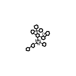 c1ccc(-c2ccc(-c3nc(-c4ccccc4)nc(-c4cc5c(cc4-c4cccc6c4oc4ccccc46)C(c4ccccc4)(c4ccccc4)c4ccccc4-5)n3)cc2)cc1